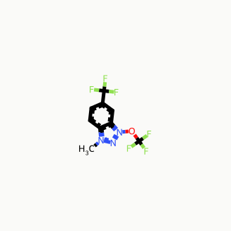 C[n+]1nn(OC(F)(F)F)c2cc(C(F)(F)F)ccc21